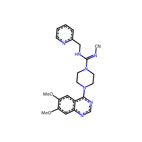 COc1cc2ncnc(N3CCN(/C(=N/C#N)NCc4ccccn4)CC3)c2cc1OC